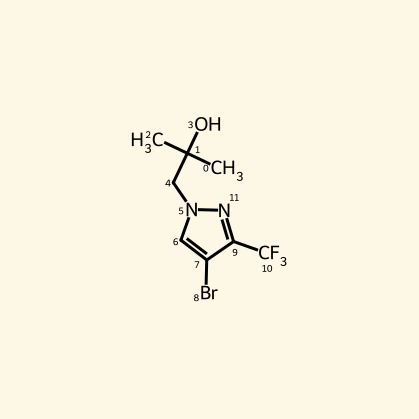 CC(C)(O)Cn1cc(Br)c(C(F)(F)F)n1